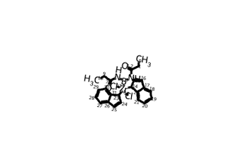 CCC(=O)N[B](NC(=O)CC)[Zr]([Cl])([Cl])([CH]1C=Cc2ccccc21)[CH]1C=Cc2ccccc21